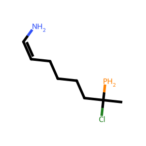 CC(P)(Cl)CCCC/C=C\N